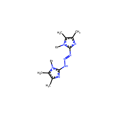 CCn1c(N=NNc2nc(C)c(C)n2CC)nc(C)c1C